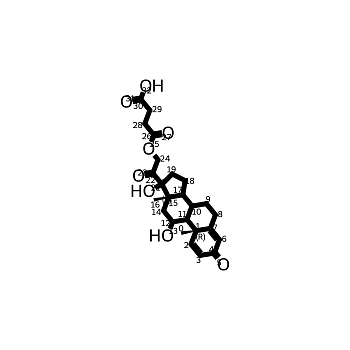 C[C@]12C=CC(=O)C=C1CCC1C2C(O)C[C@@]2(C)C1CCC2(O)C(=O)COC(=O)CCC(=O)O